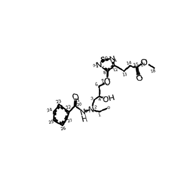 CCN(CC(O)COc1nsnc1CCC(=O)OC)NC(=O)c1ccccc1